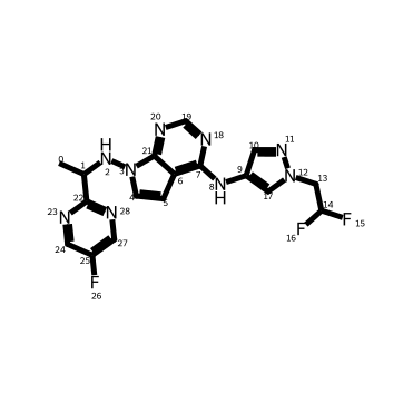 CC(Nn1ccc2c(Nc3cnn(CC(F)F)c3)ncnc21)c1ncc(F)cn1